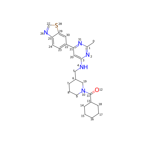 Cc1nc(NCC2CCCN(C(=O)C3CCCCC3)C2)cc(-c2ccc3ncsc3c2)n1